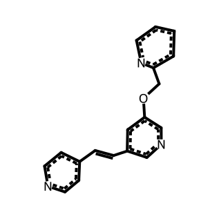 C(=Cc1cncc(OCc2ccccn2)c1)c1ccncc1